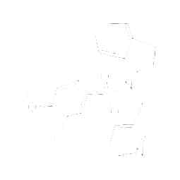 COc1ccc(S(=O)(=O)N(Cc2cccnc2)C2CCc3ccccc32)cc1OC